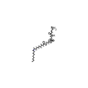 CCCCCCCC/C=C\CCCCCCCC(=O)OCCCO[PH](=O)OCCNC(=O)CCCN